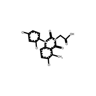 Cc1c(Cl)ccc2c1c(=O)n(CC(=O)O)c(=O)n2-c1ccc(Cl)cc1Cl